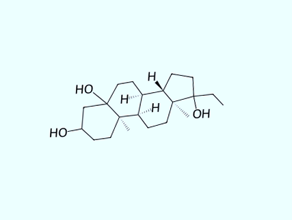 CCC1(O)CC[C@H]2[C@@H]3CCC4(O)CC(O)CC[C@]4(C)[C@@H]3CC[C@@]21C